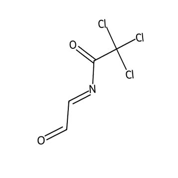 O=CC=NC(=O)C(Cl)(Cl)Cl